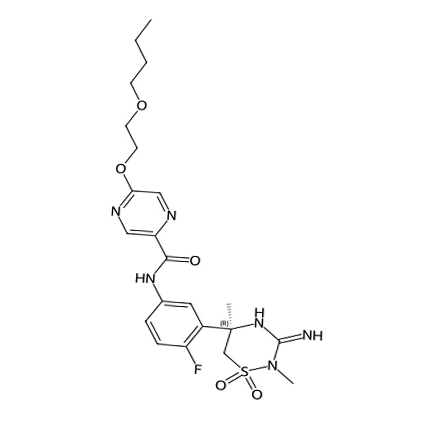 CCCCOCCOc1cnc(C(=O)Nc2ccc(F)c([C@]3(C)CS(=O)(=O)N(C)C(=N)N3)c2)cn1